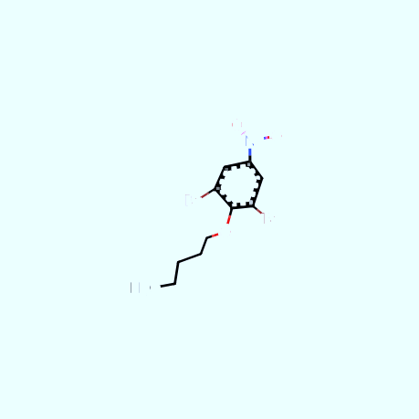 CC[CH]CCOc1c(Br)cc([N+](=O)[O-])cc1Br